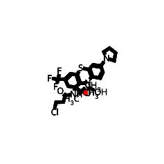 CC(C)(C)C1(NC(=O)CCCl)CC(C(F)(F)F)=CC2=C1N(C(=O)O)c1ccc(N3CCCC3)cc1S2